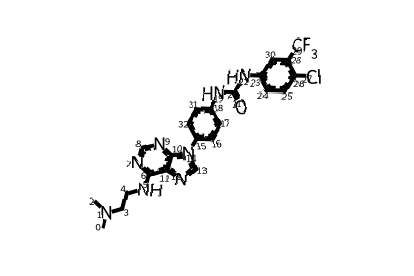 CN(C)CCNc1ncnc2c1ncn2-c1ccc(NC(=O)Nc2ccc(Cl)c(C(F)(F)F)c2)cc1